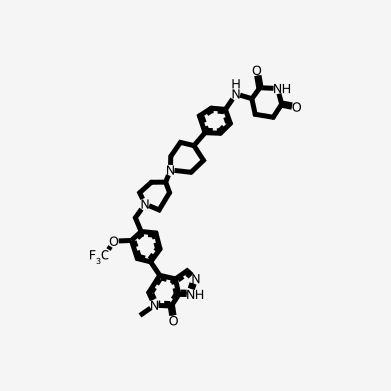 Cn1cc(-c2ccc(CN3CCC(N4CCC(c5ccc(NC6CCC(=O)NC6=O)cc5)CC4)CC3)c(OC(F)(F)F)c2)c2cn[nH]c2c1=O